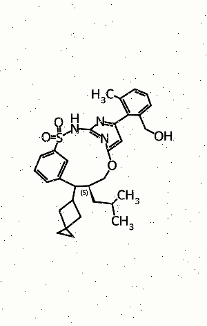 Cc1cccc(CO)c1-c1cc2nc(n1)NS(=O)(=O)c1cccc(c1)C(C1CC3(CC3)C1)[C@H](CC(C)C)CO2